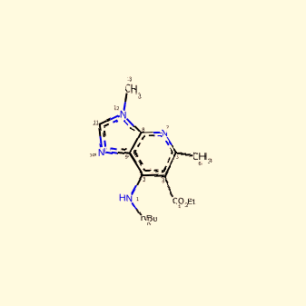 CCCCNc1c(C(=O)OCC)c(C)nc2c1ncn2C